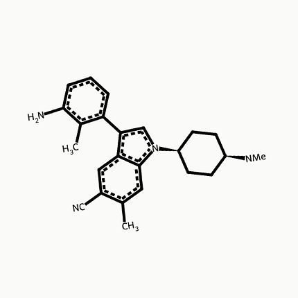 CN[C@H]1CC[C@@H](n2cc(-c3cccc(N)c3C)c3cc(C#N)c(C)cc32)CC1